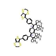 C=C(C)/C(c1ccc(C2=C3SCCSC3CS2)cc1)=c1/cc/c(=C(/C(=C)C)c2ccc(-c3scc4c3SCCS4)cc2)c(C)c1C